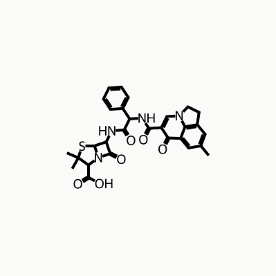 Cc1cc2c3c(c1)c(=O)c(C(=O)NC(C(=O)NC1C(=O)N4C1SC(C)(C)C4C(=O)O)c1ccccc1)cn3CC2